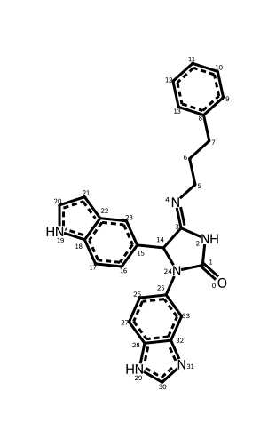 O=C1NC(=NCCCc2ccccc2)C(c2ccc3[nH]ccc3c2)N1c1ccc2[nH]cnc2c1